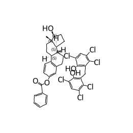 C[C@]12CC[C@@H]3c4ccc(OC(=O)c5ccccc5)cc4CC[C@H]3[C@@H]1CC[C@@H]2O.Oc1c(Cl)cc(Cl)c(Cl)c1Cc1c(O)c(Cl)cc(Cl)c1Cl